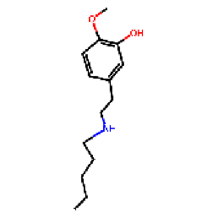 CCCCCNCCc1ccc(OC)c(O)c1